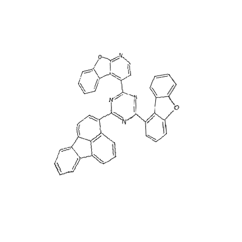 c1ccc2c(c1)-c1cccc3c(-c4nc(-c5cccc6oc7ccccc7c56)nc(-c5ccnc6oc7ccccc7c56)n4)ccc-2c13